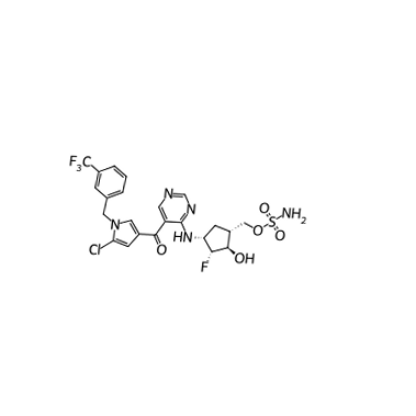 NS(=O)(=O)OC[C@H]1C[C@@H](Nc2ncncc2C(=O)c2cc(Cl)n(Cc3cccc(C(F)(F)F)c3)c2)[C@@H](F)[C@@H]1O